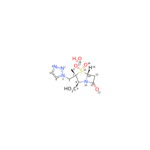 C[C@]1(Cn2ccnn2)[C@H](C(=O)O)N2C(=O)C[C@H]2S1(=O)=O.O